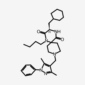 CCCCN1C(=O)[C@@H](CC2CCCCC2)NC(=O)C12CCN(Cc1c(C)nn(-c3ccccc3)c1C)CC2